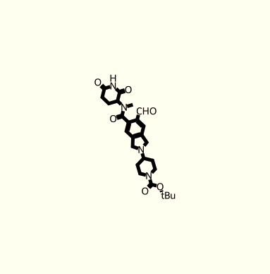 CN(C(=O)c1cc2c(cc1C=O)CN(C1CCN(C(=O)OC(C)(C)C)CC1)C2)C1CCC(=O)NC1=O